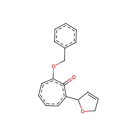 O=c1c(OCc2ccccc2)ccccc1C1C=CCO1